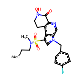 COCCN(C)S(=O)(=O)c1cn(Cc2ccc(F)cc2)c2cnc3c(c12)CCN(O)C3=O